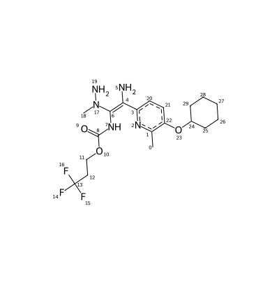 Cc1nc(/C(N)=C(\NC(=O)OCCC(F)(F)F)N(C)N)ccc1OC1CCCCC1